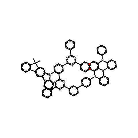 CC1(C)c2ccccc2-c2cc3c4ccccc4n(-c4ccc(-c5nc(-c6ccccc6)nc(-c6ccccc6)n5)cc4-c4nc(-c5ccccc5)nc(-c5cccc(-c6ccc(N7c8ccccc8B8c9ccccc9N(c9ccccc9)c9cccc7c98)cc6)c5)n4)c3cc21